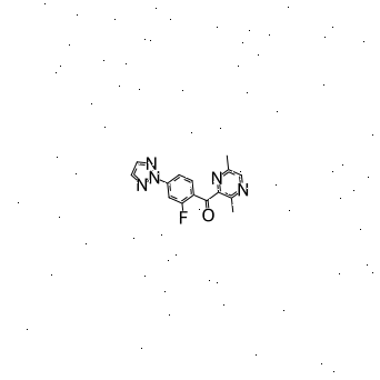 Cc1cnc(C)c(C(=O)c2ccc(-n3nccn3)cc2F)n1